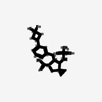 CC(C)C(=O)N1CC2(CC2)C(NS(C)(=O)=O)C1Cc1cccc(C2CC(F)(F)C2)c1